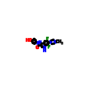 CN1CCN(c2c(F)cc3c4nn(-c5ccc(O)cc5)c(=O)c-4c[nH]c3c2F)CC1